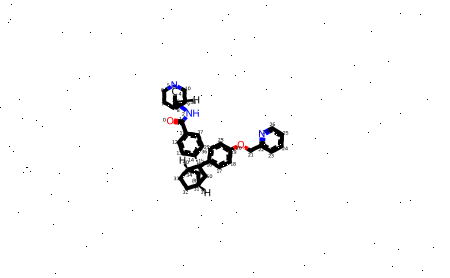 O=C(N[C@H]1CN2CCC1CC2)c1ccc([C@]2(c3ccc(OCc4ccccn4)cc3)C[C@@H]3CC[C@H]2C3)cc1